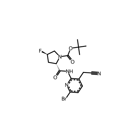 CC(C)(C)OC(=O)N1C[C@H](F)C[C@H]1C(=O)Nc1nc(Br)ccc1CC#N